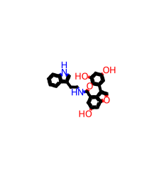 O=C(NCCc1c[nH]c2ccccc12)c1cc(O)cc2occ(-c3cc(O)cc(O)c3)c12